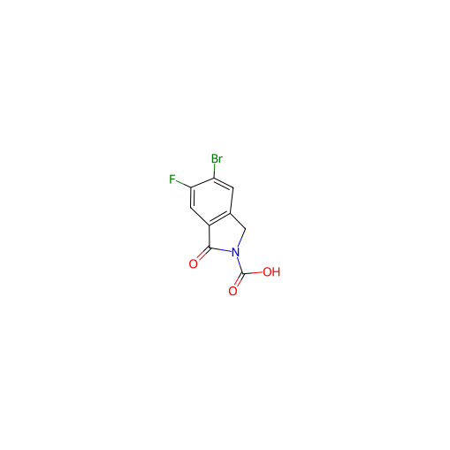 O=C(O)N1Cc2cc(Br)c(F)cc2C1=O